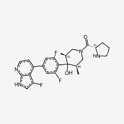 C[C@@H]1CN(C(=O)[C@@H]2CCCN2)C[C@H](C)C1(O)c1c(F)cc(-c2ccnc3[nH]cc(F)c23)cc1F